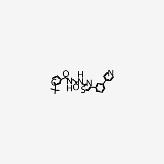 CC(C)(C)c1cccc(C(=O)NCC(=O)Nc2nc(-c3cccc(-c4ccncc4)c3)cs2)c1